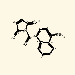 Nc1ccc(C(=O)N2C(=O)C=CC2=O)c2ccccc12